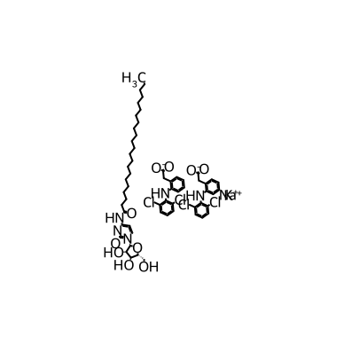 CCCCCCCCCCCCCCCCCCCCCC(=O)Nc1ccn([C@@H]2O[C@H](CO)[C@@H](O)[C@@H]2O)c(=O)n1.O=C([O-])Cc1ccccc1Nc1c(Cl)cccc1Cl.O=C([O-])Cc1ccccc1Nc1c(Cl)cccc1Cl.[K+].[Na+]